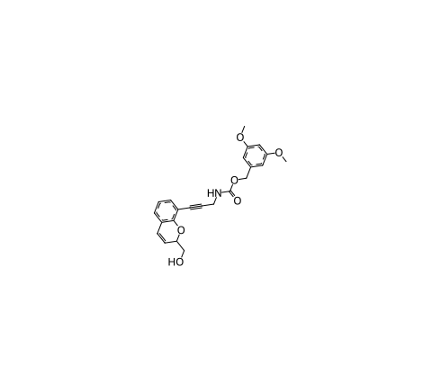 COc1cc(COC(=O)NCC#Cc2cccc3c2OC(CO)C=C3)cc(OC)c1